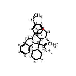 COc1cccc(-c2nc3ccccc3n2C(C(N)=O)(C2CCCCC2)C2CCCCC2)c1.[Cl-].[H+]